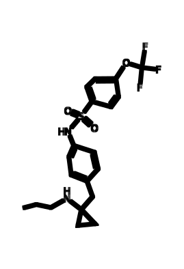 CCCNC1(Cc2ccc(NS(=O)(=O)c3ccc(OC(F)(F)F)cc3)cc2)CC1